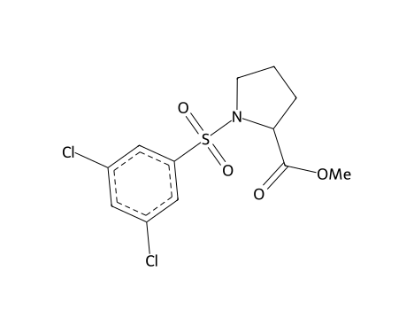 COC(=O)C1CCCN1S(=O)(=O)c1cc(Cl)cc(Cl)c1